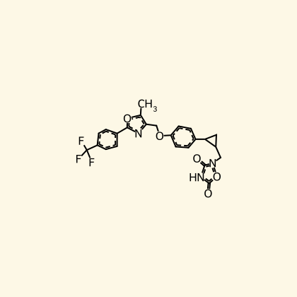 Cc1oc(-c2ccc(C(F)(F)F)cc2)nc1COc1ccc(C2CC2Cn2oc(=O)[nH]c2=O)cc1